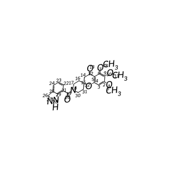 COc1cc2c(c(OC)c1OC)C(=O)CC1(CCN(C(=O)c3cccc4cn[nH]c34)CC1)O2